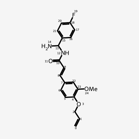 C=CCOc1ccc(C=CC(=O)NC(N)c2ccc(F)cc2)cc1OC